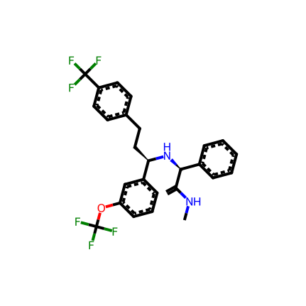 C=C(NC)[C@@H](N[C@H](CCc1ccc(C(F)(F)F)cc1)c1cccc(OC(F)(F)F)c1)c1ccccc1